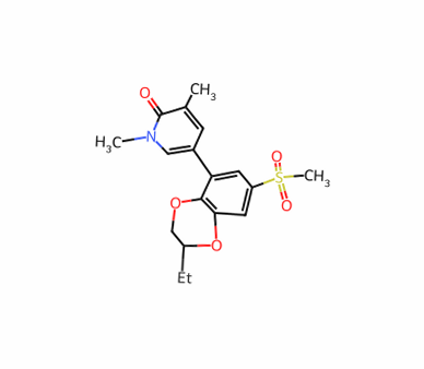 CCC1COc2c(cc(S(C)(=O)=O)cc2-c2cc(C)c(=O)n(C)c2)O1